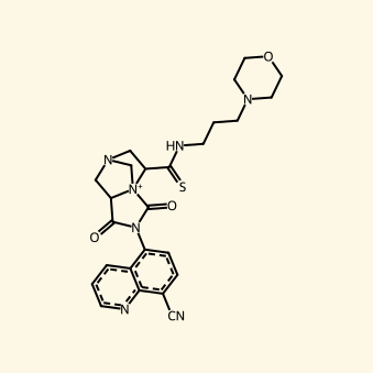 N#Cc1ccc(N2C(=O)C3CN4CC(C(=S)NCCCN5CCOCC5)[N+]3(C4)C2=O)c2cccnc12